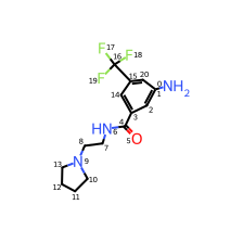 Nc1cc(C(=O)NCCN2CCCC2)cc(C(F)(F)F)c1